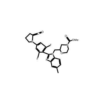 COC(=O)N1CCOC(Cn2c(-c3c(F)cc(N4CCCC4=C=O)cc3F)nc3cc(C)ccc32)C1